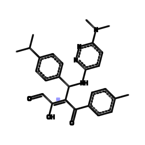 Cc1ccc(C(=O)/C(=C(\O)C=O)C(Nc2ccc(N(C)C)nn2)c2ccc(C(C)C)cc2)cc1